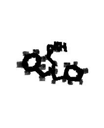 O=CCN(Cc1ccccc1)Cc1ccccc1.[KH]